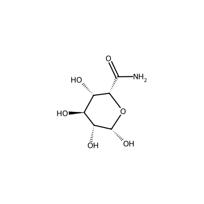 NC(=O)[C@@H]1O[C@H](O)[C@H](O)[C@@H](O)[C@@H]1O